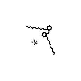 CCCCCCCCCCc1ccccc1[I+]c1ccccc1CCCCCCCCCC.[F][Sb-]([F])([F])([F])([F])[F]